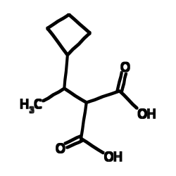 CC(C1CCC1)C(C(=O)O)C(=O)O